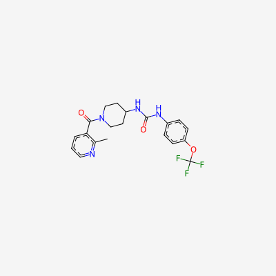 Cc1ncccc1C(=O)N1CCC(NC(=O)Nc2ccc(OC(F)(F)F)cc2)CC1